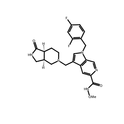 CONC(=O)c1cc2c(CN3CC[C@@H]4C(=O)NC[C@@H]4C3)cn(Cc3ccc(F)cc3F)c2cn1